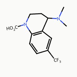 CN(C)C1CCN(C(=O)O)c2ccc(C(F)(F)F)cc21